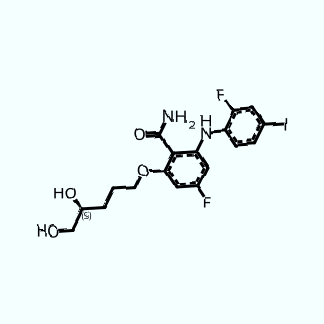 NC(=O)c1c(Nc2ccc(I)cc2F)cc(F)cc1OCCC[C@H](O)CO